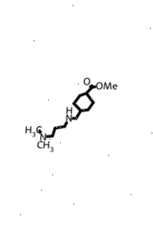 COC(=O)C1CCC(CNCCCN(C)C)CC1